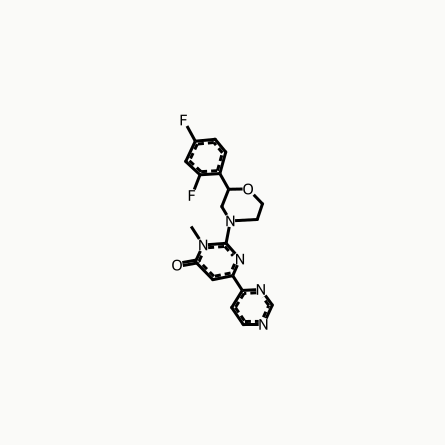 Cn1c(N2CCOC(c3ccc(F)cc3F)C2)nc(-c2ccncn2)cc1=O